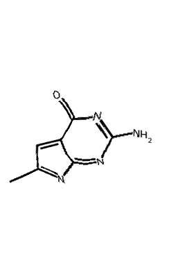 CC1=NC2=NC(N)=NC(=O)C2=C1